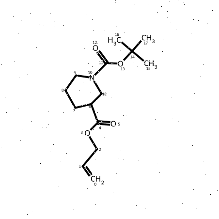 C=CCOC(=O)C1CCCN(C(=O)OC(C)(C)C)C1